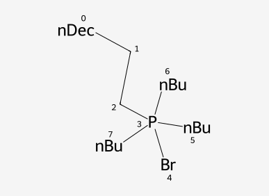 CCCCCCCCCCCCP(Br)(CCCC)(CCCC)CCCC